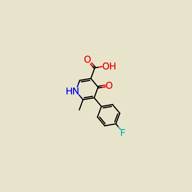 Cc1[nH]cc(C(=O)O)c(=O)c1-c1ccc(F)cc1